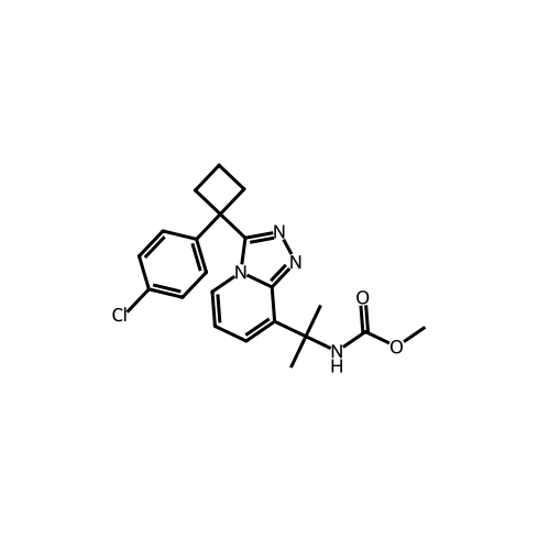 COC(=O)NC(C)(C)c1cccn2c(C3(c4ccc(Cl)cc4)CCC3)nnc12